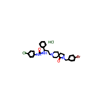 Cl.O=C(Nc1ccc(Cl)cc1)NC(CCN1CCC2(CC1)CCN(Cc1ccc(Br)cc1)C2=O)c1ccccc1